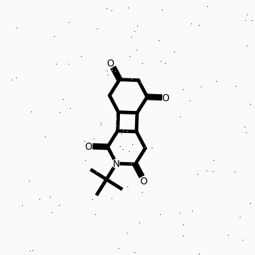 CC(C)(C)N1C(=O)CC2C3C(=O)CC(=O)CC3C2C1=O